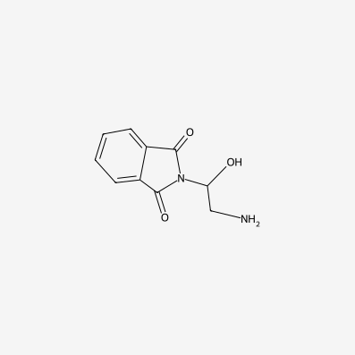 NCC(O)N1C(=O)c2ccccc2C1=O